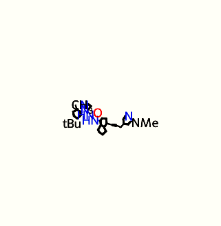 CNc1cc(CC#Cc2ccc(NC(=O)Nc3ccnn3-c3cc(C(C)(C)C)ccc3C)c3ccccc23)ccn1